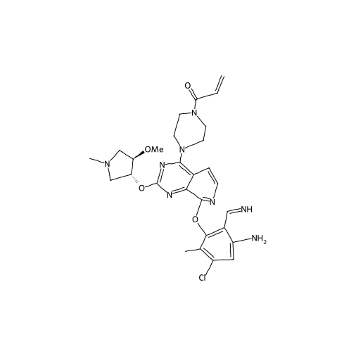 C=CC(=O)N1CCN(c2nc(O[C@@H]3CN(C)C[C@H]3OC)nc3c(Oc4c(C)c(Cl)cc(N)c4C=N)nccc23)CC1